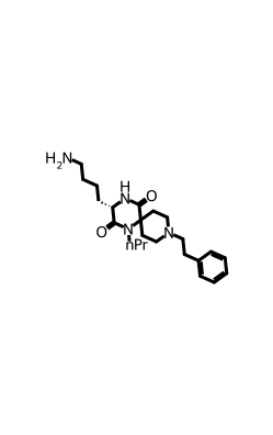 CCCN1C(=O)[C@H](CCCCN)NC(=O)C12CCN(CCc1ccccc1)CC2